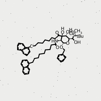 CC(C)(C)[Si](C)(C)C(O)[C@H]1O[C@H](OCc2ccccc2)[C@@H](NC(=O)CCCCCCCCc2cccc3ccccc23)[C@](O)(C(=O)CCCCCCCCc2cccc3ccccc23)[C@@H]1O